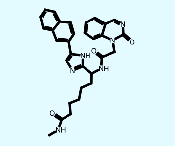 CNC(=O)CCCCCC(NC(=O)Cn1c(=O)ncc2ccccc21)c1ncc(-c2ccc3ccccc3c2)[nH]1